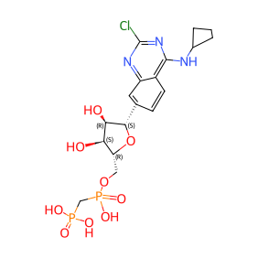 O=P(O)(O)CP(=O)(O)OC[C@H]1O[C@@H](c2ccc3c(NC4CCC4)nc(Cl)nc3c2)[C@H](O)[C@@H]1O